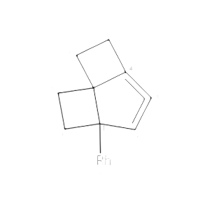 [Rh][C]12C=C=C3CCC31CC2